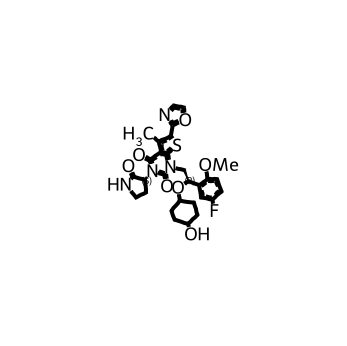 COc1ccc(F)cc1[C@H](Cn1c(=O)n([C@H]2CCNC2=O)c(=O)c2c(C)c(-c3ncco3)sc21)OC1CCC(O)CC1